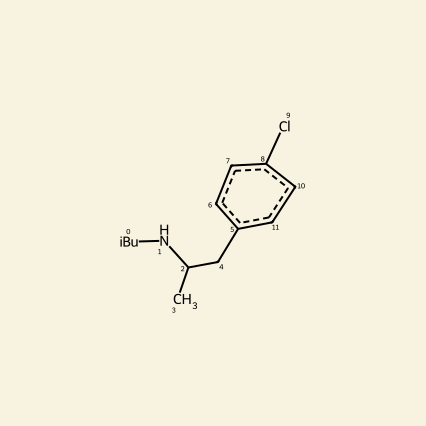 CCC(C)NC(C)Cc1ccc(Cl)cc1